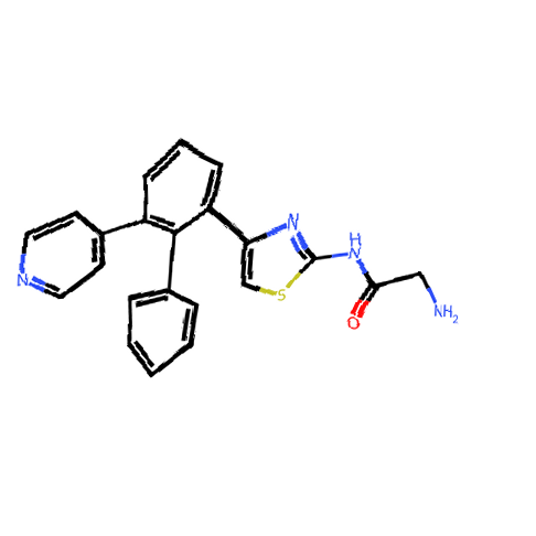 NCC(=O)Nc1nc(-c2cccc(-c3ccncc3)c2-c2ccccc2)cs1